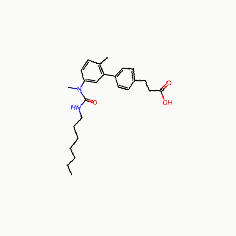 CCCCCCCNC(=O)N(C)c1ccc(C)c(-c2ccc(CCC(=O)O)cc2)c1